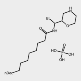 CCCCCCCCCCCCCCCCCC(=O)NC(CC)C1CNCCO1.O=P(O)(O)O